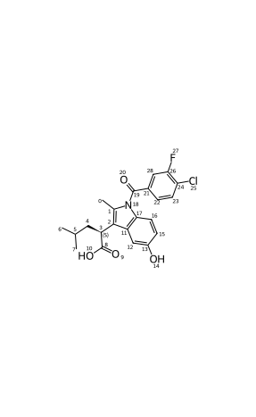 Cc1c([C@H](CC(C)C)C(=O)O)c2cc(O)ccc2n1C(=O)c1ccc(Cl)c(F)c1